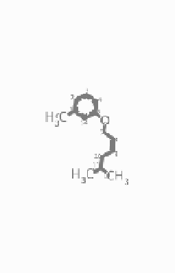 Cc1cccc(OC/C=C\CC(C)C)c1